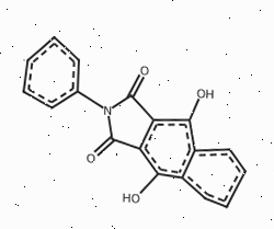 O=C1c2c(c(O)c3ccccc3c2O)C(=O)N1c1cc[c]cc1